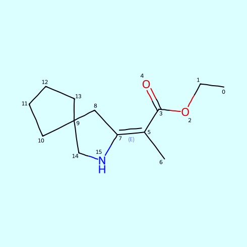 CCOC(=O)/C(C)=C1\CC2(CCCC2)CN1